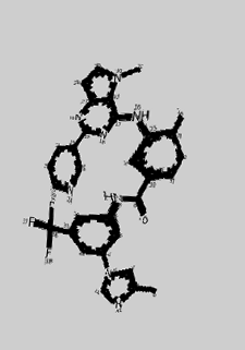 Cc1cn(-c2cc(NC(=O)c3ccc(C)c(Nc4nc(-c5cccnc5)nc5ccn(C)c45)c3)cc(C(F)(F)F)c2)cn1